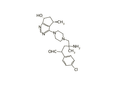 C[C@@H]1C[C@@H](O)c2ncnc(N3CCN(CC(C)(N)CC(C=O)c4ccc(Cl)cc4)CC3)c21